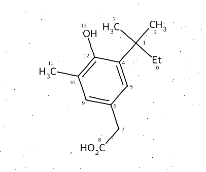 CCC(C)(C)c1cc(CC(=O)O)cc(C)c1O